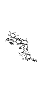 CCC(=O)N(Cc1ccc2nc(-c3ccccc3-c3nnn[nH]3)ccc2c1)CC1(OC(=O)O)CCCC1